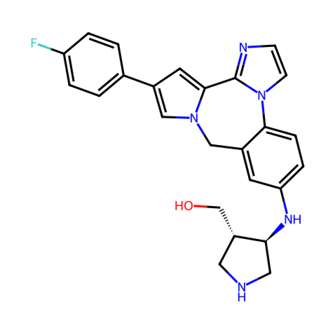 OC[C@H]1CNC[C@@H]1Nc1ccc2c(c1)Cn1cc(-c3ccc(F)cc3)cc1-c1nccn1-2